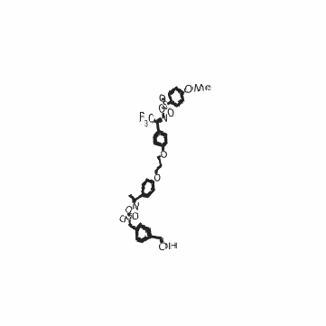 COc1ccc(S(=O)(=O)O/N=C(/c2ccc(OCCCOc3ccc(/C(C)=N/OS(=O)(=O)Cc4ccc(CO)cc4)cc3)cc2)C(F)(F)F)cc1